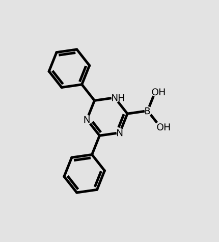 OB(O)C1=NC(c2ccccc2)=NC(c2ccccc2)N1